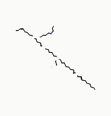 CC/C=C\CCCCOC(CCC(=O)OCCCCCCN(CCO)CCCCCCCC(=O)OC/C=C/CCCCCC)OCCCC/C=C\CC